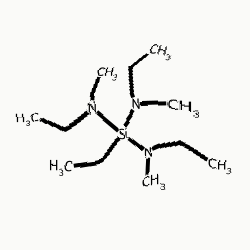 CCN(C)[Si](CC)(N(C)CC)N(C)CC